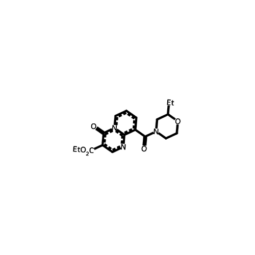 CCOC(=O)c1cnc2c(C(=O)N3CCOC(CC)C3)cccn2c1=O